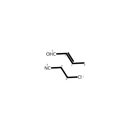 C/C=C/C=O.N#CCCCl